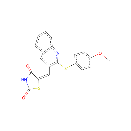 COc1ccc(Sc2nc3ccccc3cc2C=C2SC(=O)NC2=O)cc1